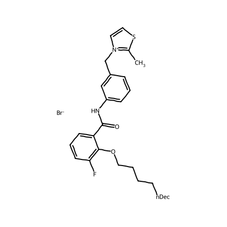 CCCCCCCCCCCCCCOc1c(F)cccc1C(=O)Nc1cccc(C[n+]2ccsc2C)c1.[Br-]